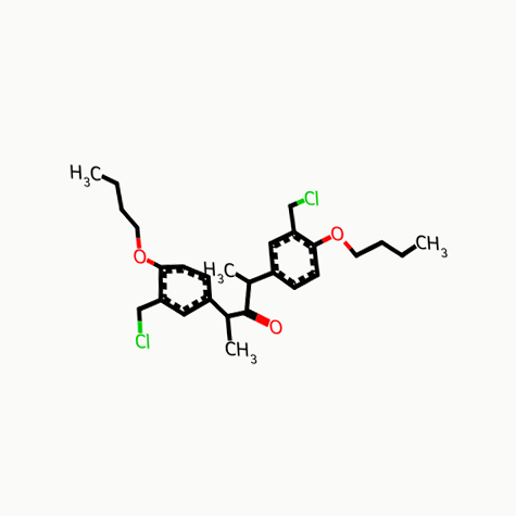 CCCCOc1ccc(C(C)C(=O)C(C)c2ccc(OCCCC)c(CCl)c2)cc1CCl